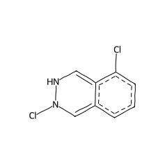 Clc1cccc2c1=CNN(Cl)C=2